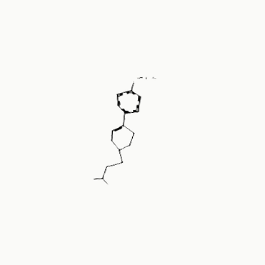 CCCCCOc1ccc(C2=CCC(CCC(CC)CC)CC2)cc1